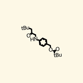 CC(C)(C)CC(=O)CNc1ccc(COC(=O)C(C)(C)C)cc1